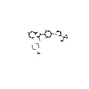 COC(=O)N1CCO[C@@H](Cc2c(-c3c(F)cc(-n4ccc(C5(C(=O)O)CC5)n4)cc3F)nc3cc(C)ccn23)C1